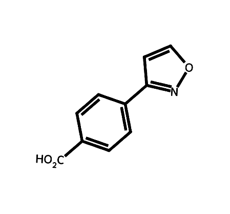 O=C(O)c1ccc(-c2ccon2)cc1